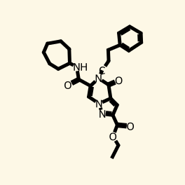 CCOC(=O)c1cc2c(=O)n(CCCc3ccccc3)c(C(=O)NC3CCCCCC3)cn2n1